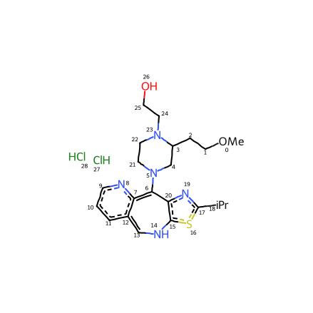 COCCC1CN(C2=c3ncccc3=CNc3sc(C(C)C)nc32)CCN1CCO.Cl.Cl